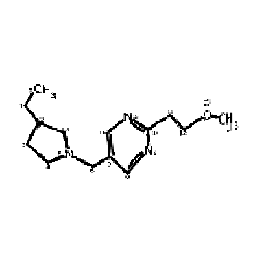 CCC1CCN(Cc2cnc(CCOC)nc2)C1